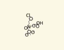 COc1cc(C(=O)N(CCCc2cccc(Cl)c2)CCOCC(=O)O)cc(OC)c1C